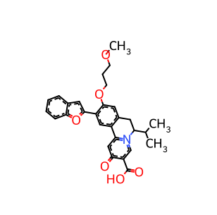 COCCCOc1cc2c(cc1-c1cc3ccccc3o1)-c1cc(=O)c(C(=O)O)cn1C(C(C)C)C2